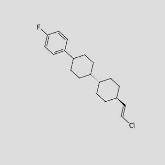 Fc1ccc(C2CCC([C@H]3CC[C@H](/C=C/Cl)CC3)CC2)cc1